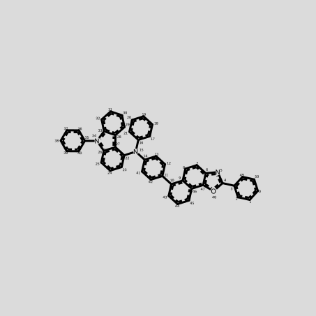 c1ccc(-c2nc3ccc4c(-c5ccc(N(c6ccccc6)c6cccc7c6c6ccccc6n7-c6ccccc6)cc5)cccc4c3o2)cc1